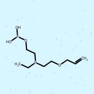 C=CCOCCN(CC)CCOP(O)O